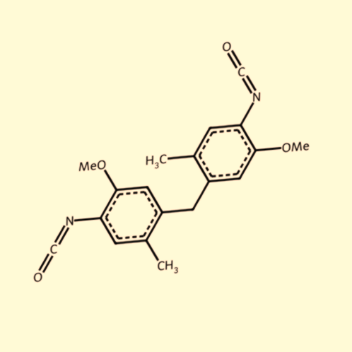 COc1cc(Cc2cc(OC)c(N=C=O)cc2C)c(C)cc1N=C=O